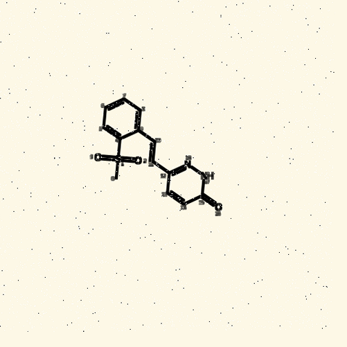 CS(=O)(=O)c1ccccc1/C=C/c1ccc(=O)[nH]n1